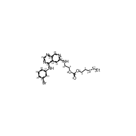 CCSSCCOC(=O)OCCNc1cc2c(Nc3cccc(Br)c3)ncnc2cn1